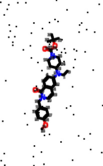 CCN(c1ccc2c(=O)n(Cc3ccc(OC)cc3)ccc2c1)C1CCN(C(=O)OC(C)(C)C)CC1